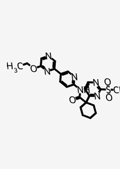 CCOc1cncc(-c2ccc(NC(=O)C3(c4ccnc(S(C)(=O)=O)n4)CCCCC3)nc2)n1